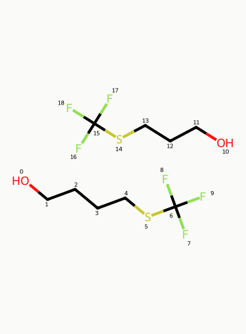 OCCCCSC(F)(F)F.OCCCSC(F)(F)F